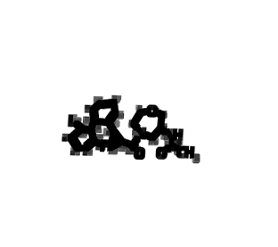 C[S+]([O-])NC1COCCN(C(=O)C2CC2c2ccccc2-c2c(F)cccc2F)C1